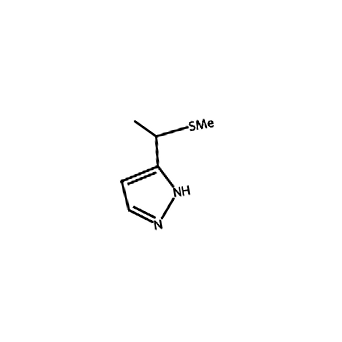 CSC(C)c1ccn[nH]1